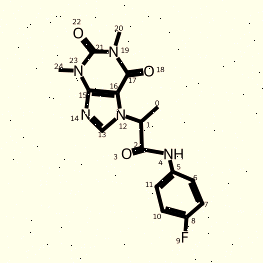 CC(C(=O)Nc1ccc(F)cc1)n1cnc2c1c(=O)n(C)c(=O)n2C